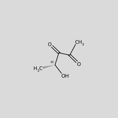 CC(=O)C(=O)[C@@H](C)O